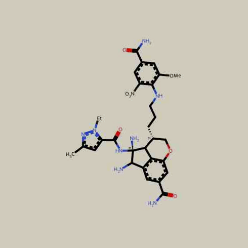 CCn1nc(C)cc1C(=O)N[C@@]1(N)C(N)c2cc(C(N)=O)cc3c2C1[C@H](CCCNc1c(OC)cc(C(N)=O)cc1[N+](=O)[O-])CO3